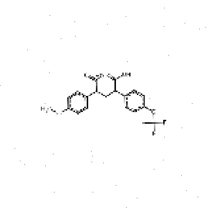 COc1ccc(C(CC(C(=O)O)c2ccc(OC(F)(F)F)cc2)C(=O)O)cc1